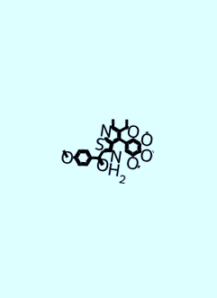 COc1ccc(C(=O)c2sc3nc(C)c(C(C)=O)c(-c4cc(OC)c(OC)c(OC)c4)c3c2N)cc1